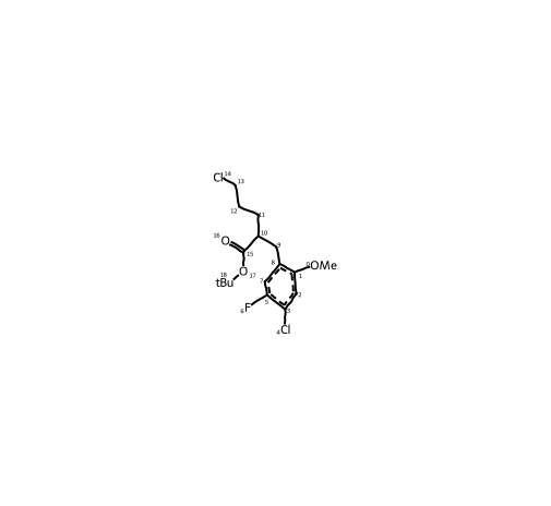 COc1cc(Cl)c(F)cc1CC(CCCCl)C(=O)OC(C)(C)C